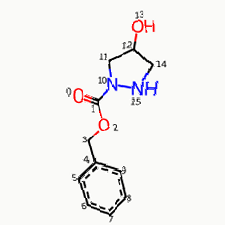 O=C(OCc1ccccc1)N1CC(O)CN1